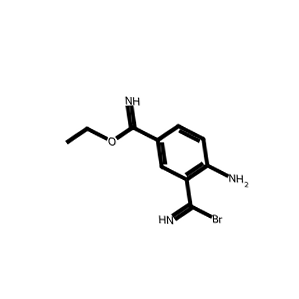 CCOC(=N)c1ccc(N)c(C(=N)Br)c1